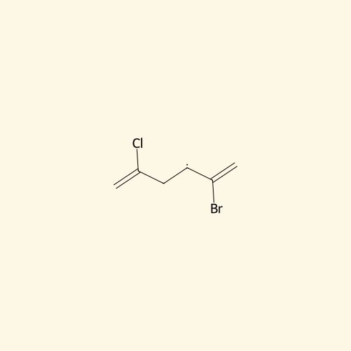 C=C(Br)[CH]CC(=C)Cl